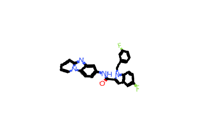 O=C(Nc1ccc2c(c1)nc1ccccn12)c1cc2cc(F)ccc2n1Cc1cccc(F)c1